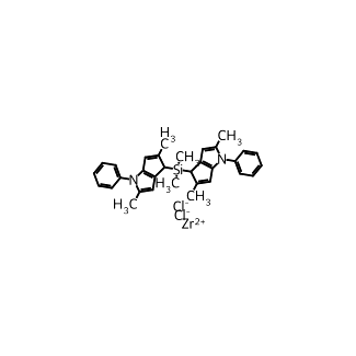 CC1=Cc2c(cc(C)n2-c2ccccc2)C1[Si](C)(C)C1C(C)=Cc2c1cc(C)n2-c1ccccc1.[Cl-].[Cl-].[Zr+2]